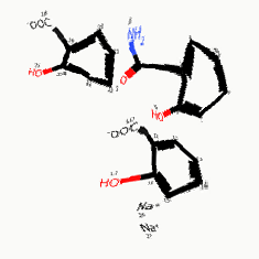 NC(=O)c1ccccc1O.O=C([O-])c1ccccc1O.O=C([O-])c1ccccc1O.[Na+].[Na+]